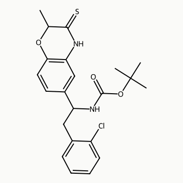 CC1Oc2ccc(C(Cc3ccccc3Cl)NC(=O)OC(C)(C)C)cc2NC1=S